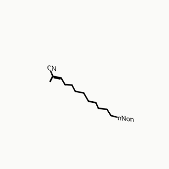 CCCCCCCCCCCCCCCCCCC=C(C)C#N